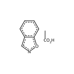 CC(=O)O.c1ccc2oncc2c1